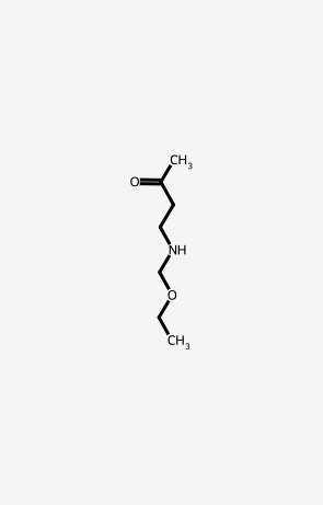 CCOCNCCC(C)=O